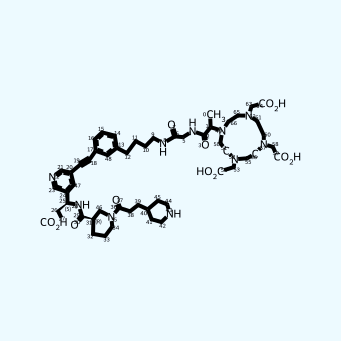 CC(C(=O)NCC(=O)NCCCCc1cccc(C#Cc2cncc([C@H](CC(=O)O)NC(=O)[C@@H]3CCCN(C(=O)CCC4CCNCC4)C3)c2)c1)N1CCN(CC(=O)O)CCN(CC(=O)O)CCN(CC(=O)O)CC1